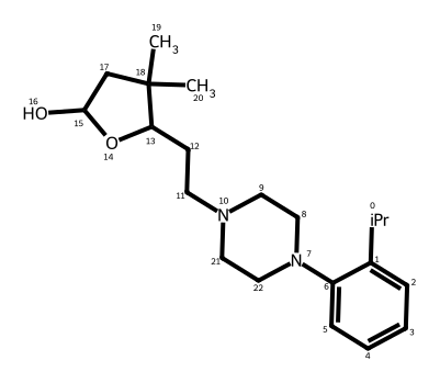 CC(C)c1ccccc1N1CCN(CCC2OC(O)CC2(C)C)CC1